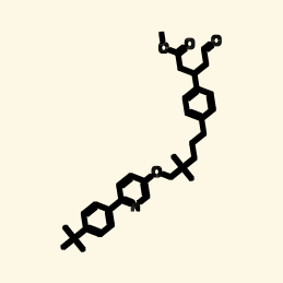 COC(=O)CC(CC=O)c1ccc(CCCC(C)(C)COc2ccc(-c3ccc(C(C)(C)C)cc3)nc2)cc1